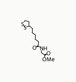 COC(=O)CNC(=O)CCCCCC1CCSS1